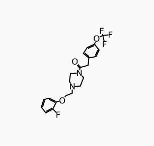 O=C(Cc1ccc(OC(F)(F)F)cc1)N1CCN(CCOc2ccccc2F)CC1